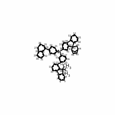 CC1(C)c2ccccc2-c2cccc(-c3cccc(N(c4ccc(-c5cccc6ccccc56)cc4)c4ccc5c(c4)C4(CC6CCC4C6)c4ccccc4-5)c3)c21